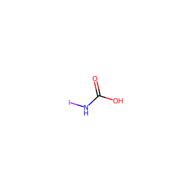 O=C(O)NI